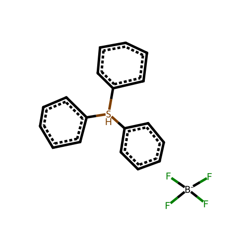 F[B-](F)(F)F.c1ccc([SH](c2ccccc2)c2ccccc2)cc1